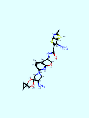 Cc1nc2sc(C(=O)NC3COc4nc(N5CC(N)C6(C5)OCC5(CC5)O6)ccc4C3)c(N)c2s1